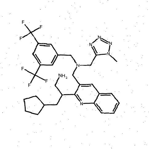 Cn1nnnc1CN(Cc1cc(C(F)(F)F)cc(C(F)(F)F)c1)Cc1cc2ccccc2nc1C(CN)CC1CCCC1